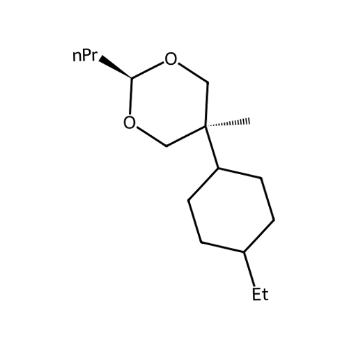 CCC[C@H]1OC[C@@](C)(C2CCC(CC)CC2)CO1